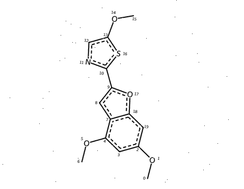 COc1cc(OC)c2cc(-c3ncc(OC)s3)oc2c1